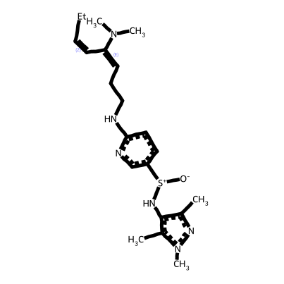 CC/C=C\C(=C/CCNc1ccc([S+]([O-])Nc2c(C)nn(C)c2C)cn1)N(C)C